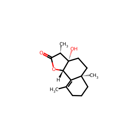 CC1=C2[C@@H]3OC(=O)[C@H](C)[C@@]3(O)CC[C@@]2(C)CCC1